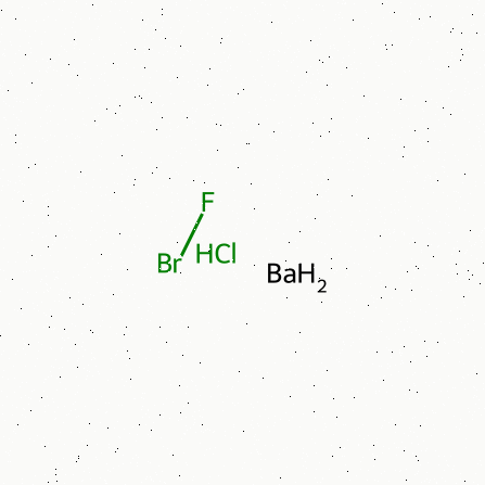 Cl.FBr.[BaH2]